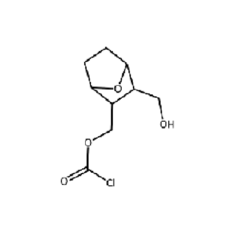 O=C(Cl)OCC1C2CCC(O2)C1CO